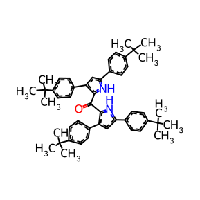 CC(C)(C)c1ccc(-c2cc(-c3ccc(C(C)(C)C)cc3)c(C(=O)c3[nH]c(-c4ccc(C(C)(C)C)cc4)cc3-c3ccc(C(C)(C)C)cc3)[nH]2)cc1